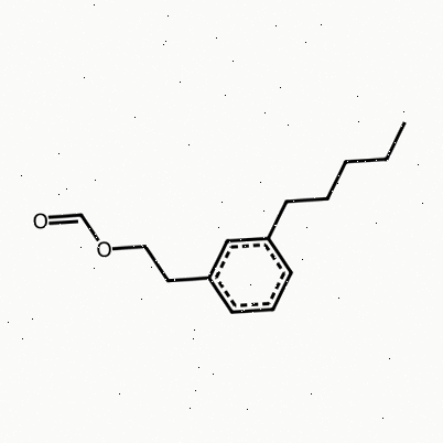 CCCCCc1cccc(CCOC=O)c1